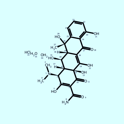 CN(C)[C@@H]1C(O)=C(C(N)=O)C(=O)[C@@]2(O)C(O)=C3C(=O)c4c(O)cccc4[C@@](C)(O)[C@H]3[C@H](O)[C@@H]12.Cl.O.O